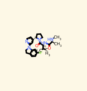 CN[C@@H](C)C(=O)N[C@H](C(=O)N1CCC[C@H]1c1ccnc(N2CCc3ccc(F)cc32)c1)C(C)C